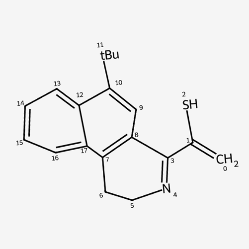 C=C(S)C1=NCCc2c1cc(C(C)(C)C)c1ccccc21